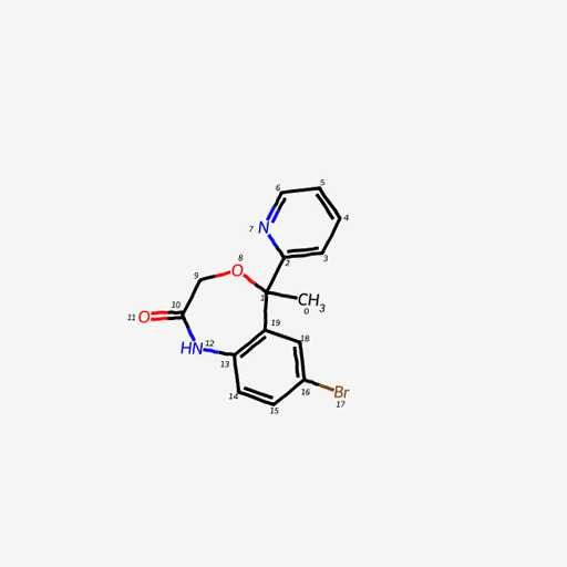 CC1(c2ccccn2)OCC(=O)Nc2ccc(Br)cc21